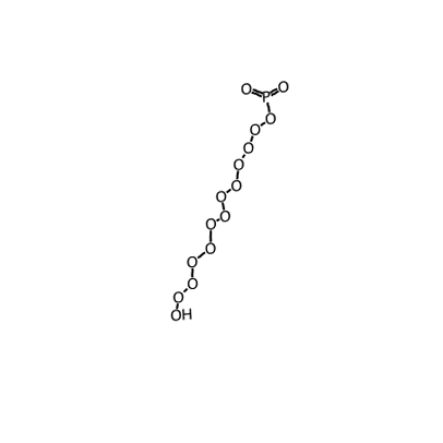 O=P(=O)OOOOOOOOOOOOO